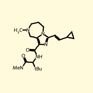 CNC(=O)C(NC(=O)c1nc(C=CC2CC2)n2c1CN(C)CCC2)C(C)(C)C